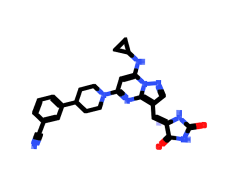 N#Cc1cccc(C2CCN(c3cc(NC4CC4)n4ncc(/C=C5\NC(=O)NC5=O)c4n3)CC2)c1